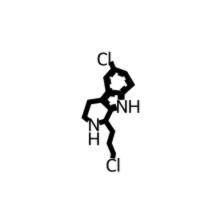 ClCCCC1NCCc2c1[nH]c1ccc(Cl)cc21